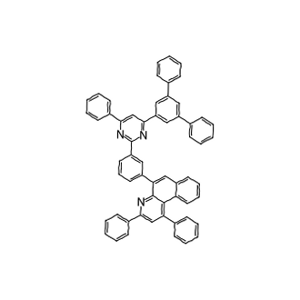 c1ccc(-c2cc(-c3ccccc3)cc(-c3cc(-c4ccccc4)nc(-c4cccc(-c5cc6ccccc6c6c(-c7ccccc7)cc(-c7ccccc7)nc56)c4)n3)c2)cc1